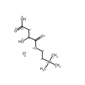 C[N+](C)(C)CCOC(=O)C(O)CC(=O)O.[Cl-]